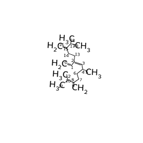 C=C/C(=C\C(C)CCC(=C)C(C)C)CCC(=C)C(C)C